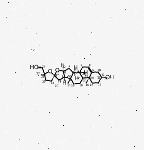 C[C@H]1[C@H]2[C@H](C[C@H]3[C@@H]4CC=C5C[C@@H](O)CC[C@]5(C)[C@H]4CC[C@]23C)O[C@]12CC[C@@](C)(CO)O2